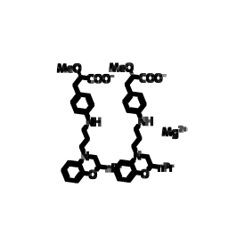 CCCC1CN(CCCNc2ccc(C[C@H](OC)C(=O)[O-])cc2)c2ccccc2O1.CCCC1CN(CCCNc2ccc(C[C@H](OC)C(=O)[O-])cc2)c2ccccc2O1.[Mg+2]